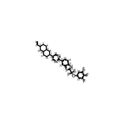 C=CC1CCC2CC(c3cnc(-c4ccc5nc(C(F)(F)Oc6cc(F)c(F)c(F)c6)sc5c4)nc3)CCC2C1